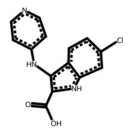 O=C(O)c1[nH]c2cc(Cl)ccc2c1Nc1ccncc1